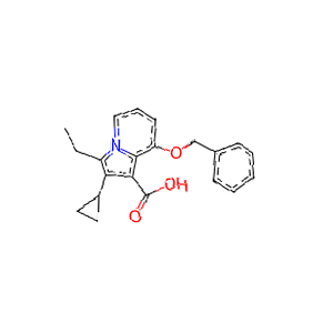 CCc1c(C2CC2)c(C(=O)O)c2c(OCc3ccccc3)cccn12